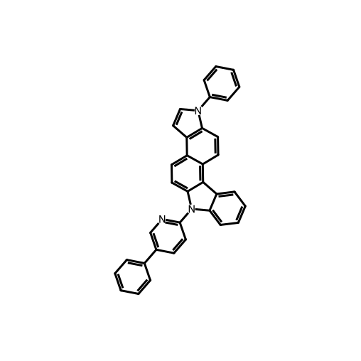 c1ccc(-c2ccc(-n3c4ccccc4c4c5ccc6c(ccn6-c6ccccc6)c5ccc43)nc2)cc1